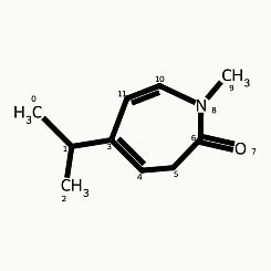 CC(C)C1=CCC(=O)N(C)C=C1